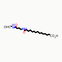 O=CCNC(=O)CCCNC(=O)CCCCCCCCCCCCCC(=O)O